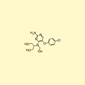 Nc1ncc(Oc2ccc(Cl)cc2)c(N(CO)C(CO)CO)n1